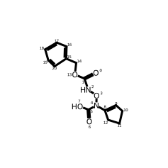 O=C(NON(C(=O)O)C1=CCCC1)OCc1ccccc1